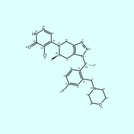 C[C@@H]1Cc2c(nnn2[C@H](C)c2ccc(F)cc2CN2CCOCC2)CN1c1cn[nH]c(=O)c1Cl